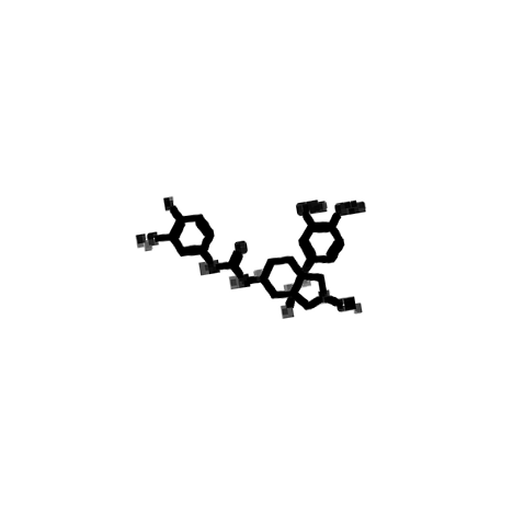 COc1ccc([C@]23CC[C@H](NC(=O)Nc4ccc(F)c(C(F)(F)F)c4)C[C@H]2CN(C)C3)cc1OC